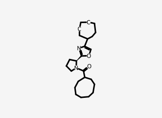 O=C(C1CCCCCCCC1)N1CCC[C@H]1c1nc(C2CCCCCCC2)co1